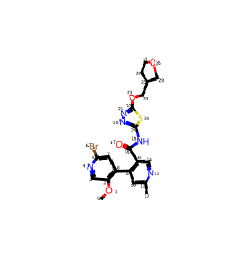 COc1cnc(Br)cc1-c1cc(C)ncc1C(=O)Nc1nnc(OCC2CCOC2)s1